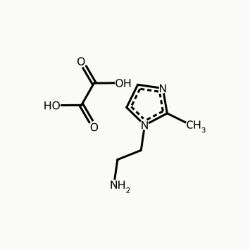 Cc1nccn1CCN.O=C(O)C(=O)O